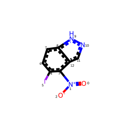 O=[N+]([O-])c1c(I)ccc2[nH]ncc12